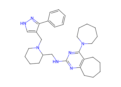 c1ccc(-c2n[nH]cc2CN2CCCCC2CNc2nc3c(c(N4CCCCCC4)n2)CCCCC3)cc1